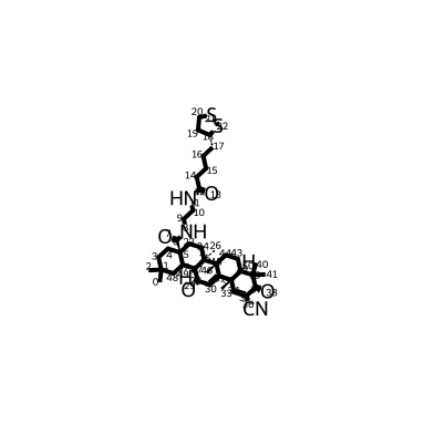 CC1(C)CC[C@]2(C(=O)NCCNC(=O)CCCC[C@@H]3CCSS3)CC[C@]3(C)[C@H](C(=O)C=C4[C@@]5(C)C=C(C#N)C(=O)C(C)(C)[C@@H]5CC[C@]43C)C2C1